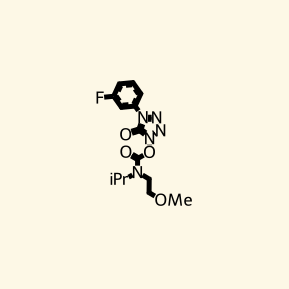 COCCN(C(=O)On1nnn(-c2cccc(F)c2)c1=O)C(C)C